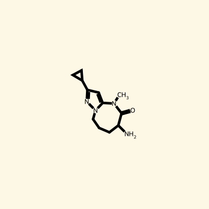 CN1C(=O)C(N)CCCn2nc(C3CC3)cc21